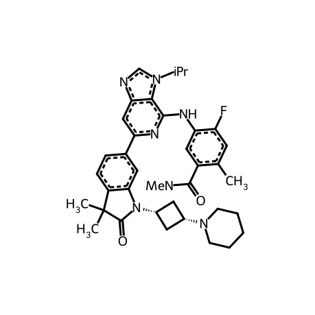 CNC(=O)c1cc(Nc2nc(-c3ccc4c(c3)N([C@H]3C[C@@H](N5CCCCC5)C3)C(=O)C4(C)C)cc3ncn(C(C)C)c23)c(F)cc1C